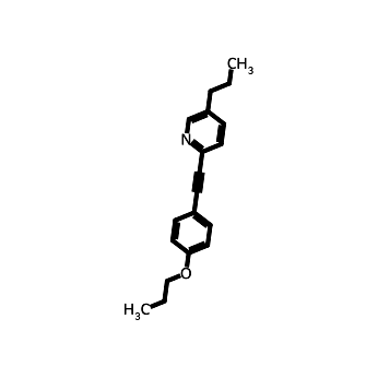 CCCOc1ccc(C#Cc2ccc(CCC)cn2)cc1